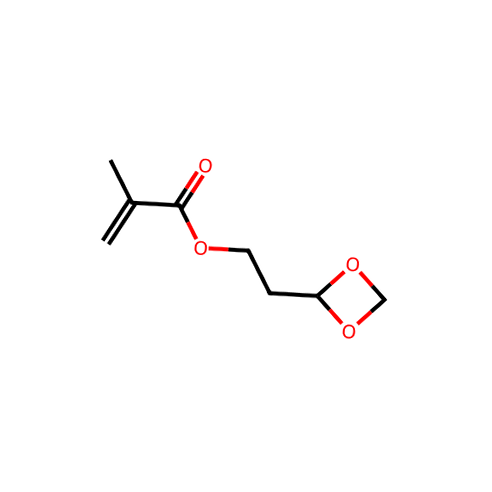 C=C(C)C(=O)OCCC1OCO1